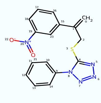 C=C(CSc1nnnn1-c1ccccc1)c1cccc([N+](=O)[O-])c1